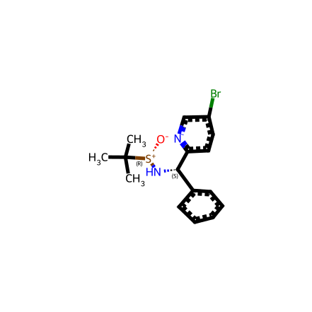 CC(C)(C)[S@+]([O-])N[C@@H](c1ccccc1)c1ccc(Br)cn1